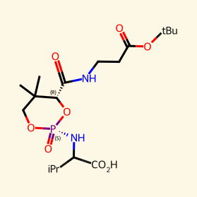 CC(C)C(N[P@]1(=O)OCC(C)(C)[C@H](C(=O)NCCC(=O)OC(C)(C)C)O1)C(=O)O